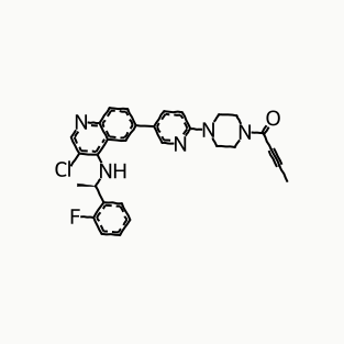 CC#CC(=O)N1CCN(c2ccc(-c3ccc4ncc(Cl)c(N[C@H](C)c5ccccc5F)c4c3)cn2)CC1